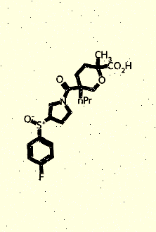 CCCC1(C(=O)N2CCC([S+]([O-])c3ccc(F)cc3)C2)CCC(C)(C(=O)O)OC1